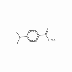 COC(=O)c1ccc(N(C)I)cc1